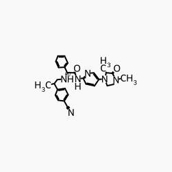 CC(CN[C@@H](C(=O)Nc1ccc(N2CCN(C)C(=O)C2C)cn1)c1ccccc1)c1ccc(C#N)cc1